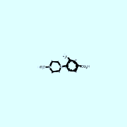 O=C(O)c1ccc(N2CCN(C(=O)O)CC2)c(C(F)(F)F)c1